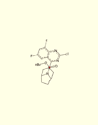 CCCCOC(=O)N1C2CCC1CN(c1nc(Cl)nc3c(F)cc(F)cc13)C2